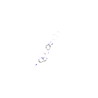 N#Cc1cnc2c(ccn2C(=O)Nc2ccc3nn([C@H]4CC[C@H](CO)CC4)cc3c2)c1